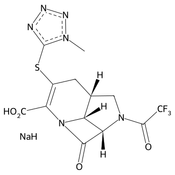 Cn1nnnc1SC1=C(C(=O)O)N2C(=O)[C@@H]3[C@H]2[C@H](C1)CN3C(=O)C(F)(F)F.[NaH]